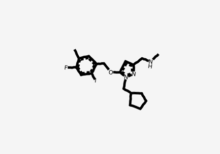 CNCc1cc(OCc2cc(C)c(F)cc2I)n(CC2CCCC2)n1